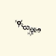 Nc1nc(N2CCN3CC(COc4c(F)cc(F)cc4F)CCC3C2)nc2nc(-c3ccco3)nn12